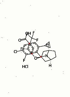 Cl.O=C(O)c1cc(C2CC2)c(CN2[C@@H]3CC[C@H]2C[C@@H](Oc2cc(C(F)(F)F)cc(Cl)c2F)C3)cc1F